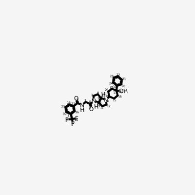 O=C(NCC(=O)N1CC[C@H]2[C@@H]1CCN2C1CCC(O)(c2ccccc2)CC1)c1cccc(C(F)(F)F)c1